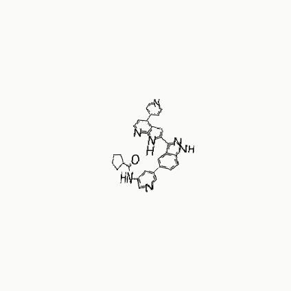 O=C(Nc1cncc(-c2ccc3[nH]nc(-c4cc5c(-c6ccncc6)ccnc5[nH]4)c3c2)c1)C1CCCC1